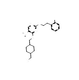 NCC1CCC(CNc2nc(NCCc3ccccc3F)ncc2[N+](=O)[O-])CC1